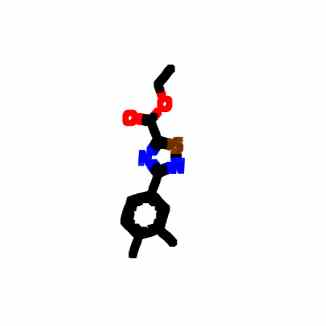 CCOC(=O)c1nc(-c2ccc(C)c(C)c2)ns1